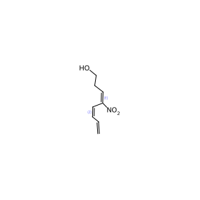 C=C/C=C\C(=C/CCO)[N+](=O)[O-]